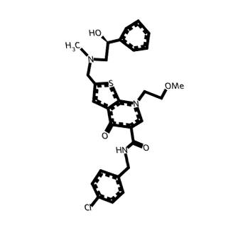 COCCn1cc(C(=O)NCc2ccc(Cl)cc2)c(=O)c2cc(CN(C)C[C@@H](O)c3ccccc3)sc21